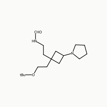 CC(C)(C)OCCC1(CCNC=O)CC(N2CCCC2)C1